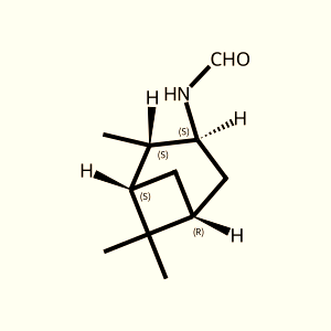 C[C@@H]1[C@@H](NC=O)C[C@H]2C[C@@H]1C2(C)C